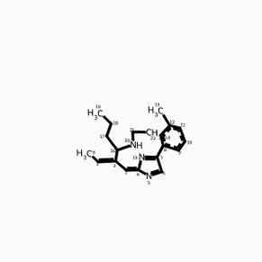 CC=C(/C=C1/N=CC(c2cccc(C)c2)=N1)C(CCC)NCC